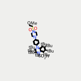 COCCS(=O)(=O)N1CCN(c2ccc(N3c4c(c(C(C)(C)C)c(C(C)(C)C)c(C(C)(C)C)c4C(C)(C)C)N(C(=O)O)C(C(C)(C)C)(C(C)(C)C)C3(C(C)(C)C)C(C)(C)C)cc2)CC1